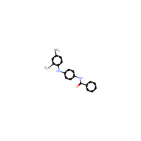 O=C(Nc1ccc(Nc2ccc([N+](=O)[O-])cc2[N+](=O)[O-])cc1)c1ccccc1